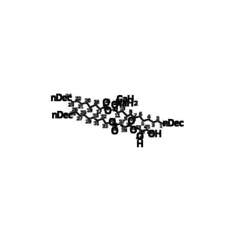 CCCCCCCCCCCCCCCCCCCCCC(=O)OC(=O)CCCCCCCCCCCCCCCCC.CCCCCCCCCCCCCCCCCCOC(=O)/C=C/C(=O)OCC(O)CO.[CaH2].[NaH]